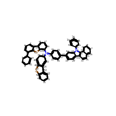 c1ccc(-c2cccc3c2sc2c(N(c4ccc(-c5ccc6c7ccc8ccccc8c7n(-c7ccccc7)c6c5)cc4)c4ccc5sc6ccccc6c5c4)cccc23)cc1